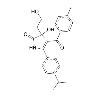 Cc1ccc(C(=O)C2=C(c3ccc(C(C)C)cc3)NC(=O)C2(O)CCO)cc1